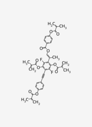 C=C(C)C(=O)Oc1ccc(C#Cc2c(F)c(OC(=O)C(=C)C)c(/C(C)=C/OC(=O)c3ccc(OC(=O)C(=C)C)cc3)c(F)c2OC(=O)C(=C)C)cc1